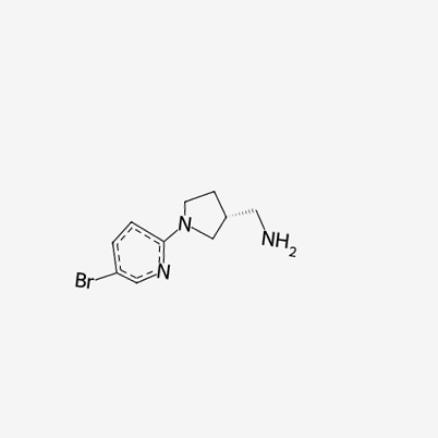 NC[C@H]1CCN(c2ccc(Br)cn2)C1